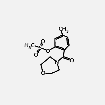 Cc1ccc(C(=O)N2CCOCC2)c(OS(C)(=O)=O)c1